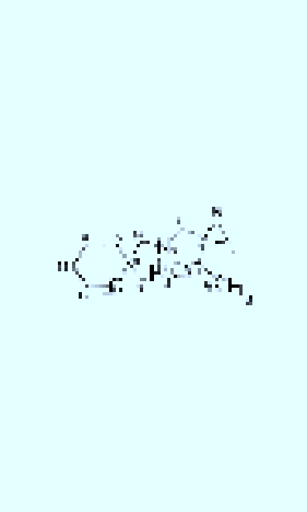 CC(C)C1(CN2CCC3(CCCCO3)C2)CC1